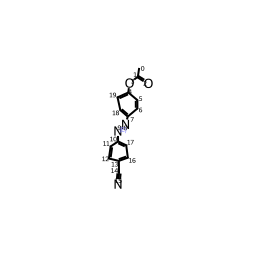 CC(=O)Oc1ccc(/N=N/c2ccc(C#N)cc2)cc1